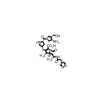 C[C@@H](NC(=O)Cn1cnnn1)[C@H]1C(=O)N2C(C(=O)O)=C(S[C@@H]3CN[C@H](C(=O)N4C[C@@H](CO)[C@H](N)C4)C3)[C@H](C)[C@H]12